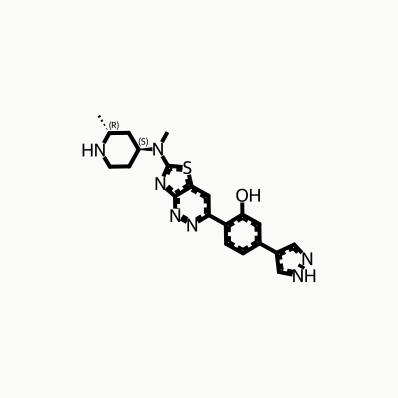 C[C@@H]1C[C@@H](N(C)c2nc3nnc(-c4ccc(-c5cn[nH]c5)cc4O)cc3s2)CCN1